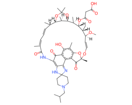 CO[C@H]1/C=C/O[C@@]2(C)Oc3c(C)c(O)c4c(c3C2=O)C2=NC3(CCN(CC(C)C)CC3)NC2=C(NC(=O)/C(C)=C\C=C\[C@H](C)[C@@H]2OC(C)(C)O[C@@H]([C@@H](C)[C@H](OC(=O)CC(=O)O)[C@@H]1C)[C@@H]2C)C4=O